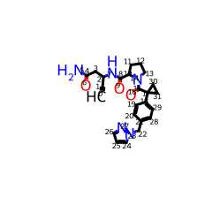 C#CC(CC(N)=O)NC(=O)C1CCCN1C(=O)C1(c2ccc(Cn3cccn3)cc2)CC1